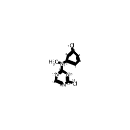 CN(c1cccc(Cl)c1)c1ncnc(Cl)n1